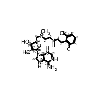 CN(CCNCCc1c(Cl)cccc1Cl)C[C@H]1O[C@@H](N2CNC3C(N)NCNC32)[C@H](O)[C@@H]1O